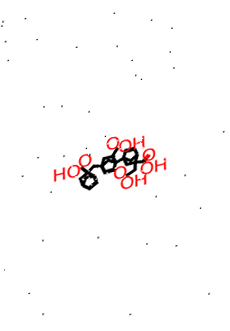 O=C(O)CC1(C(=O)O)CC2(C34C=CC(CC5(C(=O)O)CC6C=CC5C6)(CC3C(=O)O)C4)C=CC1C2